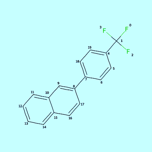 FC(F)(F)c1ccc(-c2[c]c3ccccc3cc2)cc1